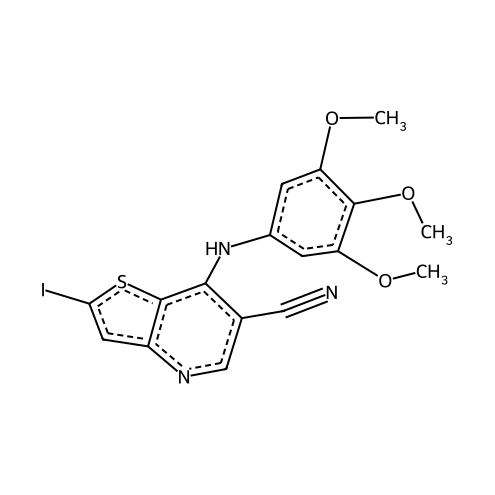 COc1cc(Nc2c(C#N)cnc3cc(I)sc23)cc(OC)c1OC